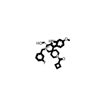 COc1ccc2c3c([nH]c2c1)[C@@H](CO)N(Cc1cccc(F)c1)CC31CCN(C(=O)C2CCC2)CC1